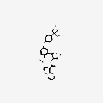 CN1CC(CC#N)(c2ccc(Oc3ccc(OC(F)F)c(-c4nn(C)cc4NC(=O)c4cnn5cccnc45)c3)cc2)C1